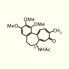 COc1cc2c(c(OC)c1OC)-c1ccc(C)c(=O)cc1[C@@H](NC(C)=O)CC2